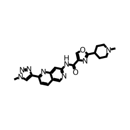 CN1CCC(c2nc(C(=O)Nc3cc4nc(-c5cn(C)nn5)ccc4cn3)co2)CC1